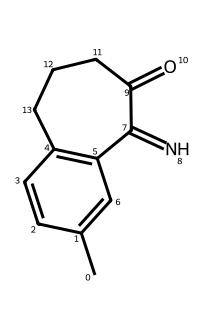 Cc1ccc2c(c1)C(=N)C(=O)CCC2